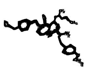 CCCC(C)Oc1nc(N(P)Cc2ccc(OC)cc2)nc2ccn(Cc3ccc(CCl)cc3)c(=O)c12